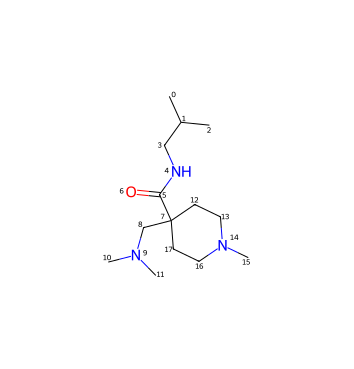 CC(C)CNC(=O)C1(CN(C)C)CCN(C)CC1